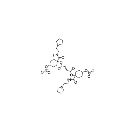 O=C(/C=C/C(=O)OC1(C(=O)NCCN2CCCC2)CCC(O[N+](=O)[O-])CC1)OC1(C(=O)NCCN2CCCC2)CCC(O[N+](=O)[O-])CC1